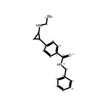 CC(C)(C)CNC1CC1c1ccc(C(=O)NCc2ccccc2)cc1